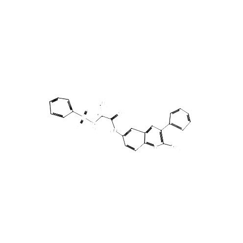 C[C@@H](NS(=O)(=O)c1ccccc1)C(=O)Nc1ccc2nc(N)c(-c3ccccc3)cc2c1